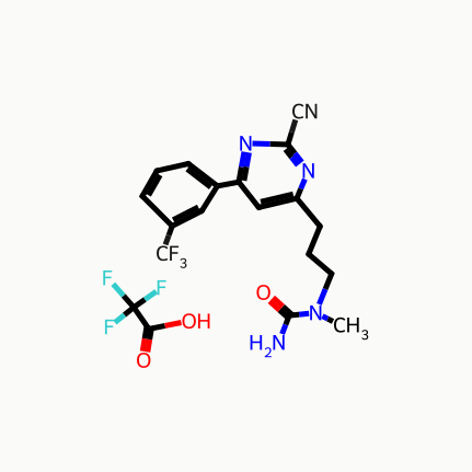 CN(CCCc1cc(-c2cccc(C(F)(F)F)c2)nc(C#N)n1)C(N)=O.O=C(O)C(F)(F)F